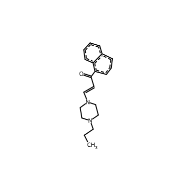 CCCN1CCN(C=CC(=O)c2cccc3ccccc23)CC1